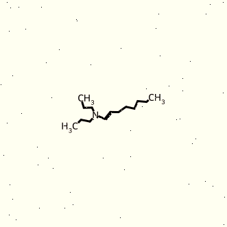 CCCCCCC=CN(CCC)CCC